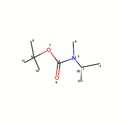 [CH2][C@@H](C)N(C)C(=O)OC(C)(C)C